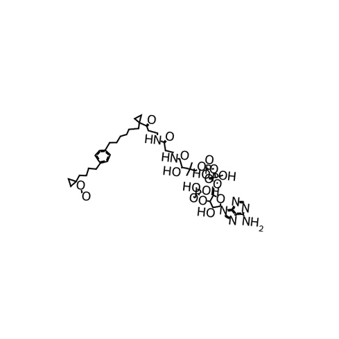 CC(C)(COP(=O)(O)OP(=O)(O)OCC1OC(n2cnc3c(N)ncnc32)C(O)C1OP(=O)(O)O)C(O)C(=O)NCCC(=O)NCCC(=O)C1(CCCCCCc2ccc(CCCCC3(OC=O)CC3)cc2)CC1